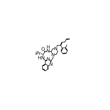 C=CC/C=C(/CN1CCN2Cc3nc(c4ccccc4n3)N[C@@H](C(C)C)C(=O)NC2C1)c1ccccc1C